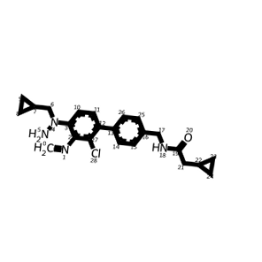 C=Nc1c(N(N)CC2CC2)ccc(-c2ccc(CNC(=O)CC3CC3)cc2)c1Cl